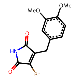 COc1ccc(CC2=C(Br)C(=O)NC2=O)cc1OC